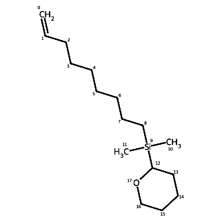 C=CCCCCCCC[Si](C)(C)C1CCCCO1